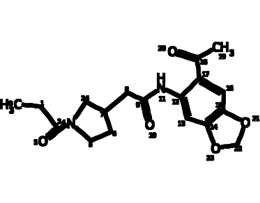 CCC(=O)N1CCC(CC(=O)Nc2cc3c(cc2C(C)=O)OCO3)C1